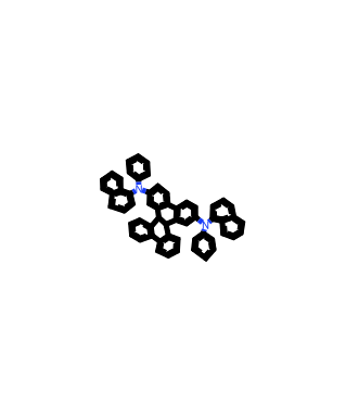 c1ccc(N(c2ccc3c(c2)C2c4ccccc4-c4ccccc4C2c2cc(N(c4ccccc4)c4cccc5ccccc45)ccc2-3)c2cccc3ccccc23)cc1